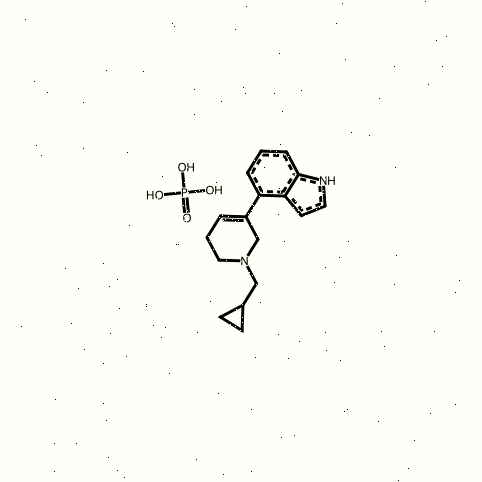 C1=C(c2cccc3[nH]ccc23)CN(CC2CC2)CC1.O=P(O)(O)O